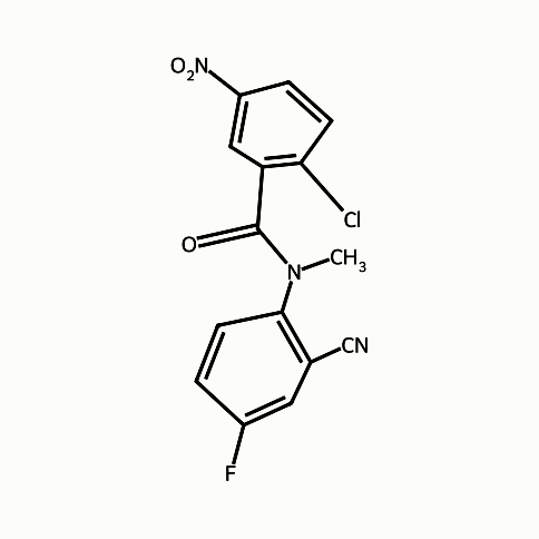 CN(C(=O)c1cc([N+](=O)[O-])ccc1Cl)c1ccc(F)cc1C#N